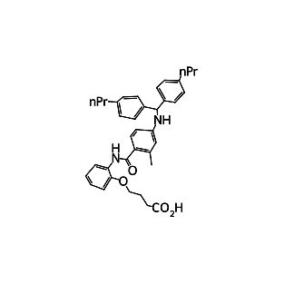 CCCc1ccc(C(Nc2ccc(C(=O)Nc3ccccc3OCCCC(=O)O)c(C)c2)c2ccc(CCC)cc2)cc1